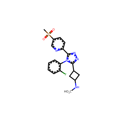 CS(=O)(=O)c1ccc(-c2nnc(C3CC(NC(=O)O)C3)n2-c2ccccc2F)nc1